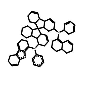 C1=CCC(N(C2=C3C=CCCC3CCC2)C2C=CC3C4C=CCCC4C4(C5C=CCC(N(C6=c7sc8c(c7=CCC6)CCC=C8)c6ccccc6)C5C5CCCCC54)C3C2)C=C1